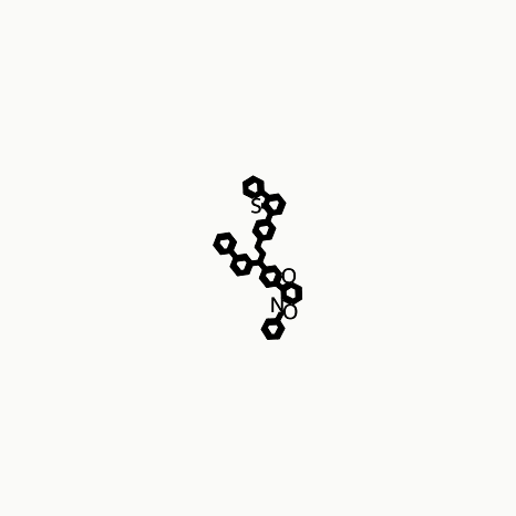 c1ccc(-c2cccc(C(CCc3ccc(-c4cccc5c4sc4ccccc45)cc3)c3ccc4c(c3)oc3ccc5oc(-c6ccccc6)nc5c34)c2)cc1